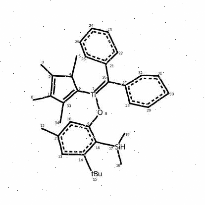 CC1=C(C)C(C)[C]([Ti]([O]c2cc(C)cc(C(C)(C)C)c2[SiH](C)C)=[C](c2ccccc2)c2ccccc2)=C1C